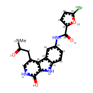 CNC(=O)Cc1c[nH]c(=O)c2[nH]c3ccc(NC(=O)c4ccc(Br)o4)cc3c12